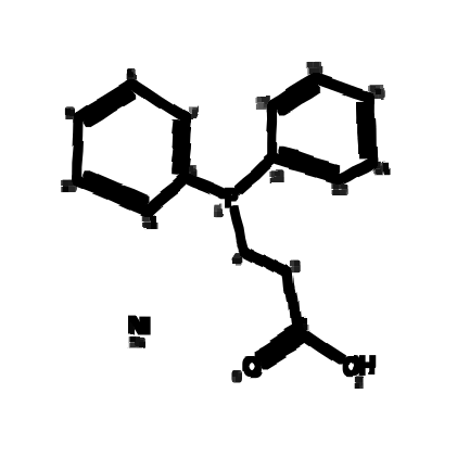 O=C(O)CCP(c1ccccc1)c1ccccc1.[Ni]